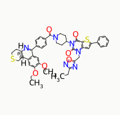 CCOc1cc2c(cc1OC)C(c1ccc(C(=O)N3CCC(n4c(=O)c5sc(-c6ccccc6)cc5n(Cc5nc(CC)no5)c4=O)CC3)cc1)=N[C@@H]1CCSC[C@H]21